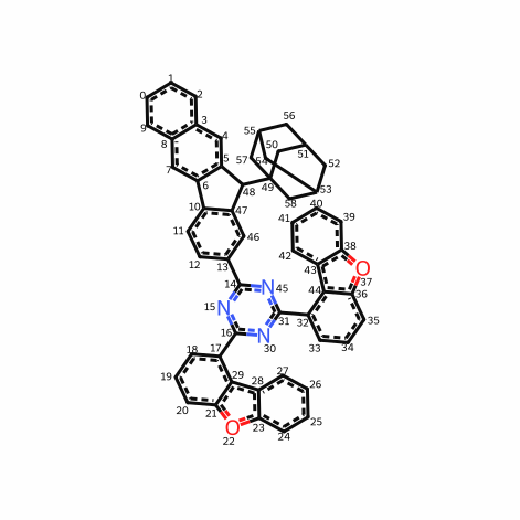 c1ccc2cc3c(cc2c1)-c1ccc(-c2nc(-c4cccc5oc6ccccc6c45)nc(-c4cccc5oc6ccccc6c45)n2)cc1C3C12CC3CC(CC(C3)C1)C2